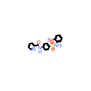 O=C(Nc1ccc(S(=O)(=O)Nc2ccccc2Br)cc1)c1ccccn1